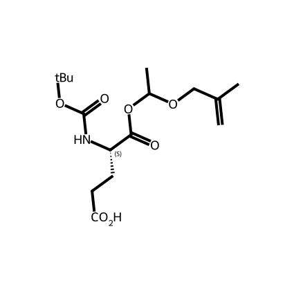 C=C(C)COC(C)OC(=O)[C@H](CCC(=O)O)NC(=O)OC(C)(C)C